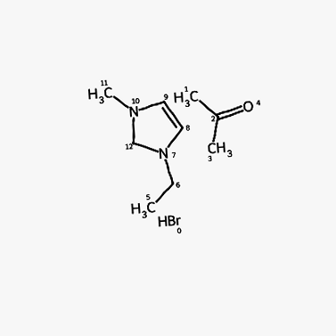 Br.CC(C)=O.CCN1C=CN(C)C1